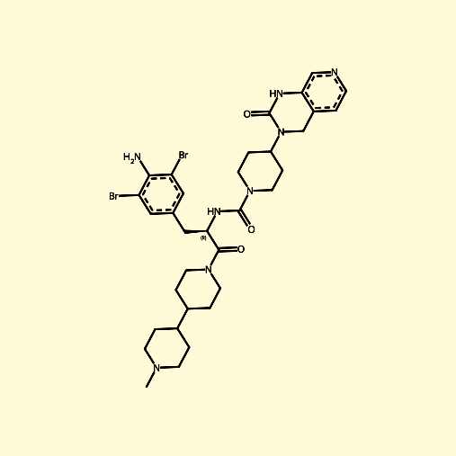 CN1CCC(C2CCN(C(=O)[C@@H](Cc3cc(Br)c(N)c(Br)c3)NC(=O)N3CCC(N4Cc5ccncc5NC4=O)CC3)CC2)CC1